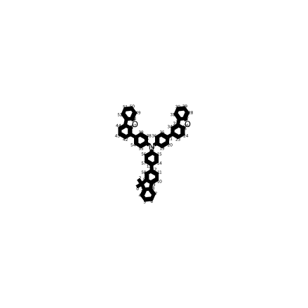 CC1(C)c2ccccc2-c2ccc(-c3ccc(N(c4ccc(-c5ccc6oc7ccccc7c6c5)cc4)c4ccc(-c5cccc6c5oc5ccccc56)cc4)cc3)cc21